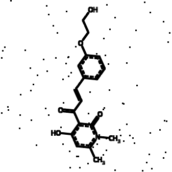 Cc1cc(O)c(C(=O)C=Cc2cccc(OCCO)c2)c(=O)n1C